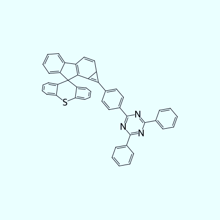 C1=CC2C(=C2c2ccc(-c3nc(-c4ccccc4)nc(-c4ccccc4)n3)cc2)C2=C1c1ccccc1C21c2ccccc2Sc2ccccc21